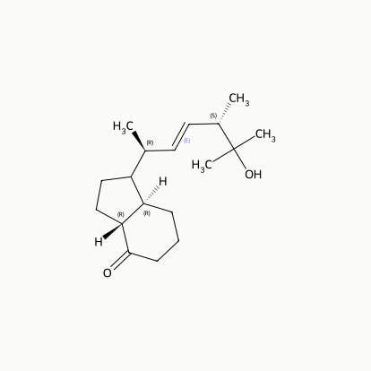 C[C@@H](/C=C/[C@H](C)C(C)(C)O)C1CC[C@H]2C(=O)CCC[C@H]12